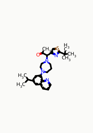 CC(=O)C(c1csc(C(C)(C)C)n1)N1CCCN(c2cc(C(C)C)cc3cccnc23)CC1